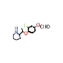 CC(Oc1ccc(OC=O)cc1F)C1CCCCN1